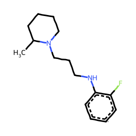 CC1CCCCN1CCCNc1cc[c]cc1F